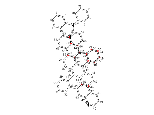 c1ccc(N(c2ccccc2)c2ccc(N(c3ccccc3)c3cccc4c(-c5ccccc5-c5ccc6cccnc6c5)c5ccccc5c(-c5ccccc5-c5ccc6cccnc6c5)c34)cc2)cc1